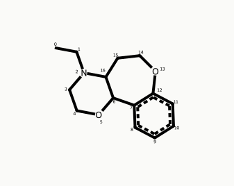 CCN1CCOC2c3ccccc3OCCC21